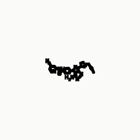 CC#CCN1CCC(c2nc(-c3ccc(C(=O)Nc4cc(C#N)ccn4)cc3)n3c(N)ncnc23)C1